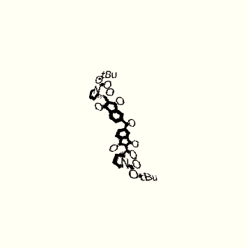 CC(C)(C)OC(=O)N1CC=C[C@H]1C(=O)C1C(=O)c2ccc(C(=O)c3ccc4c(c3)C(=O)C(C(=O)[C@@H]3C=CCN3C(=O)OC(C)(C)C)C4=O)cc2C1=O